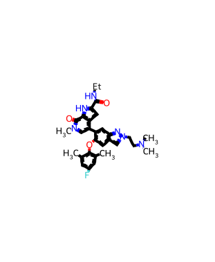 CCNC(=O)c1cc2c(-c3cc4nn(CCN(C)C)cc4cc3Oc3c(C)cc(F)cc3C)cn(C)c(=O)c2[nH]1